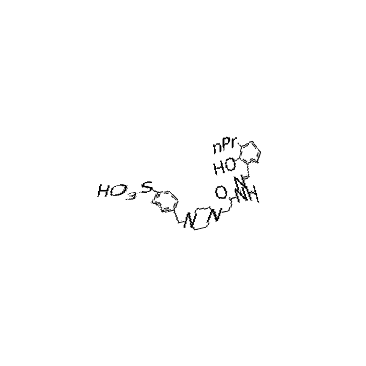 CCCc1cccc(C=NNC(=O)CN2CCN(Cc3ccc(S(=O)(=O)O)cc3)CC2)c1O